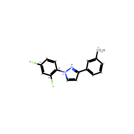 O=C(O)c1cccc(-c2ccn(-c3ccc(F)cc3F)n2)c1